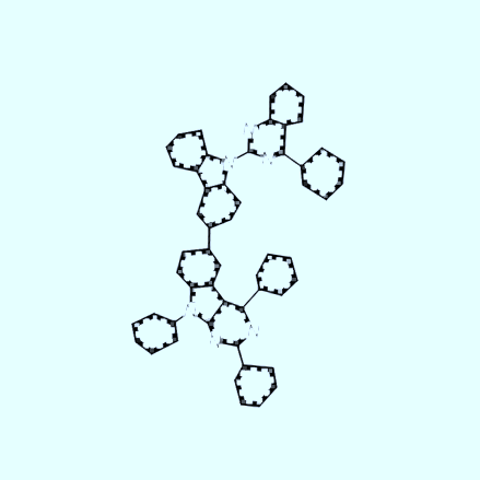 c1ccc(-c2nc(-c3ccccc3)c3c4cc(-c5ccc6c(c5)c5ccccc5n6-c5nc(-c6ccccc6)c6ccccc6n5)ccc4n(-c4ccccc4)c3n2)cc1